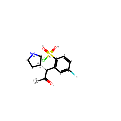 O=C(C(c1cc(F)ccc1S(=O)(=O)Cl)[C@@H]1CCNC1)C(F)(F)F